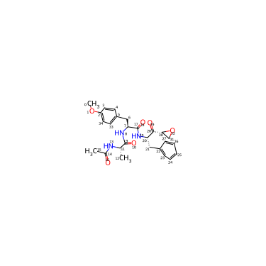 COc1ccc(C[C@H](NC(=O)[C@H](C)NC(C)=O)C(=O)N[C@@H](Cc2ccccc2)C(=O)[C@H]2CO2)cc1